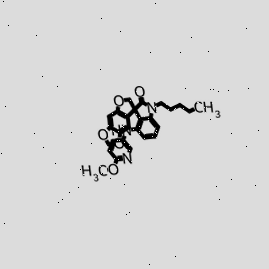 CCCCCN1C(=O)C2(COc3cc4c(cc32)OCO4)c2c(Nc3ccc(OC)nc3)cccc21